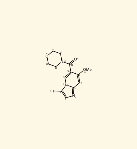 COc1cc2ncc(I)n2cc1C(=O)N1CCOCC1